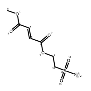 COC(=O)/C=C/C(=O)OCCS(N)(=O)=O